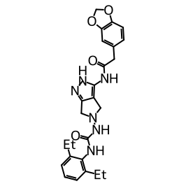 CCc1cccc(CC)c1NC(=O)NN1Cc2n[nH]c(NC(=O)Cc3ccc4c(c3)OCO4)c2C1